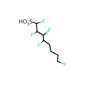 O=S(=O)(O)C(F)C(F)C(F)C(F)CCCCF